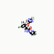 Cc1nc(Cl)ncc1OC[C@@]1(c2cccc(F)c2)C[C@H]1C(=O)Nc1ccc(F)cn1